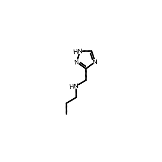 CCCNCc1nc[nH]n1